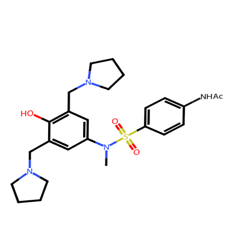 CC(=O)Nc1ccc(S(=O)(=O)N(C)c2cc(CN3CCCC3)c(O)c(CN3CCCC3)c2)cc1